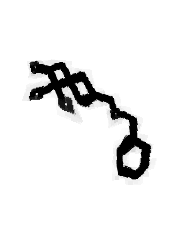 O=C1CC2(CC(COCc3ccccc3)C2)C1(Cl)Cl